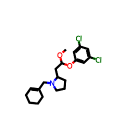 COC(CC1CCCN1CC1=CCCCC1)Oc1cc(Cl)cc(Cl)c1